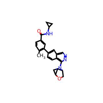 Cc1ccc(C(=O)NC2CC2)cc1-c1ccc2c(N3CC4CC3CO4)nncc2c1